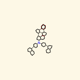 c1ccc(-c2ccccc2-c2c(-c3ccccc3)cccc2-c2ccc(N(c3ccc(-c4cccc5ccccc45)cc3)c3ccc(-c4cccc5ccccc45)cc3)c3ccccc23)cc1